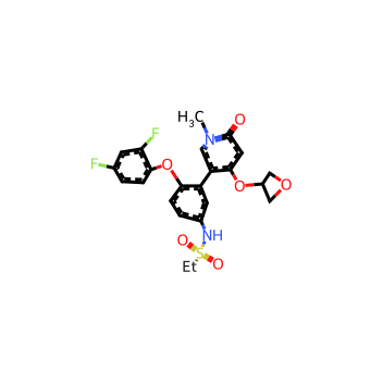 CCS(=O)(=O)Nc1ccc(Oc2ccc(F)cc2F)c(-c2cn(C)c(=O)cc2OC2COC2)c1